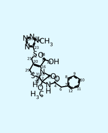 COC1(NC(=O)Cc2ccccc2)C(=O)N2C(C(=O)O)=C(CSc3nnnn3C)CS[C@H]21